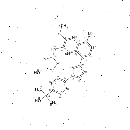 CCc1nc2c(N)ncc(-c3cnn(-c4ccc(C(C)(C)O)nc4)c3)c2nc1N[C@@H]1CC[C@H](O)C1